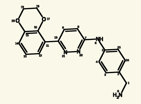 NCc1ccc(Nc2ccc(-c3cccc4c3OCCO4)nn2)cc1